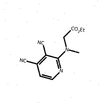 CCOC(=O)CN(C)c1nccc(C#N)c1C#N